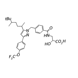 CC(CCC(C)C(C)(C)C)c1cc(-c2ccc(OC(F)(F)F)cc2)nn1Cc1ccc(C(=O)NCC(O)C(=O)O)cc1